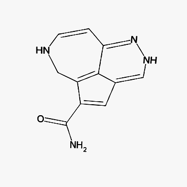 NC(=O)c1cc2c[nH]nc3c-2c1CNC=C3